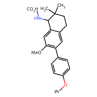 COc1cc2c(cc1-c1ccc(OC(C)C)cc1)CCC(C)(C)C2NC(=O)O